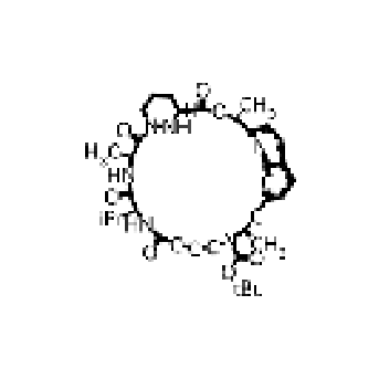 CC(C)[C@@H]1NC(=O)CCCN(C(=O)OC(C)(C)C)C(C)Cc2ccc3ccc(nc3c2)[C@@H](C)OC(=O)[C@@H]2CCCN(N2)C(=O)[C@H](C)NC1=O